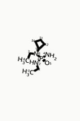 CCNP(N)(=O)N(CC)C1CCC1